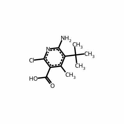 Cc1c(C(=O)O)c(Cl)nc(N)c1C(C)(C)C